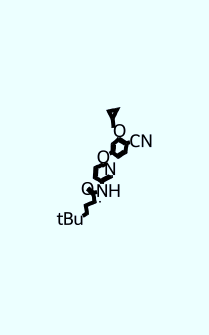 CC(C)(C)CC[CH]C(=O)Nc1ccc(Oc2ccc(C#N)c(OCC3CC3)c2)nc1